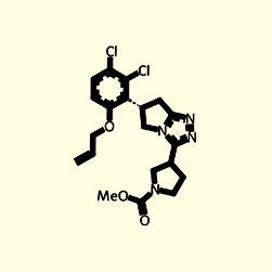 C=CCOc1ccc(Cl)c(Cl)c1[C@@H]1Cc2nnc(C3CCN(C(=O)OC)C3)n2C1